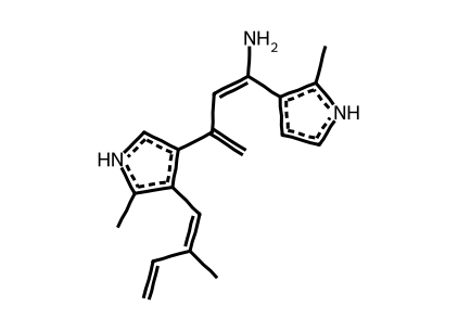 C=C/C(C)=C\c1c(C(=C)/C=C(/N)c2cc[nH]c2C)c[nH]c1C